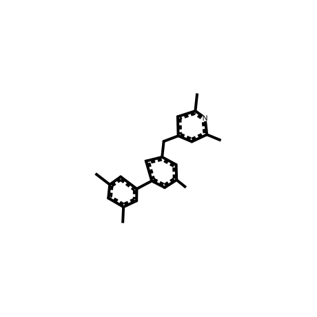 Cc1cc(C)cc(-c2cc(C)cc(Cc3cc(C)nc(C)c3)c2)c1